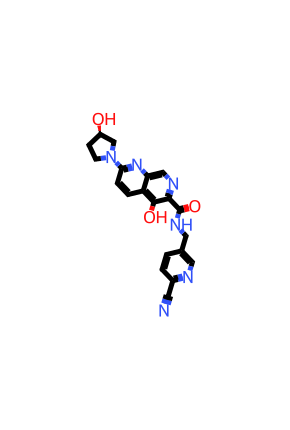 N#Cc1ccc(CNC(=O)c2ncc3nc(N4CC[C@@H](O)C4)ccc3c2O)cn1